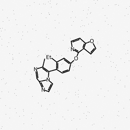 CCc1cc(Oc2nccc3occc23)ccc1-c1c(C)ncc2nccn12